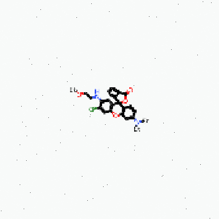 CCOCCNc1cc2c(cc1Cl)Oc1cc(N(CC)CC)ccc1C21OC(=O)c2ccccc21